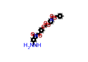 N=C(N)c1ccc2c(c1)CN(CC(=O)c1ccc(OCC(=O)OC3CCN(C(=O)OCc4ccccc4)CC3)cc1)C2=O